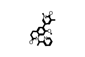 COc1cc2c(cc1-c1cc(C)c(=O)n(C)c1)CCC(=O)N2C(C)c1ccccn1